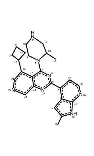 Cc1cc2c(-c3nc(N4CCNCC4C)c4c(C5CCC5)cncc4n3)ccnc2[nH]1